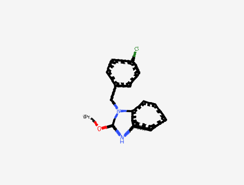 CC(C)OC1Nc2ccccc2N1Cc1ccc(Cl)cc1